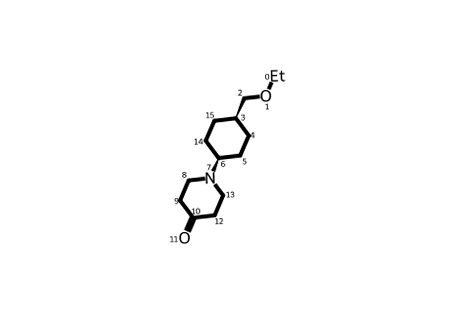 CCOC[C@H]1CC[C@@H](N2CCC(=O)CC2)CC1